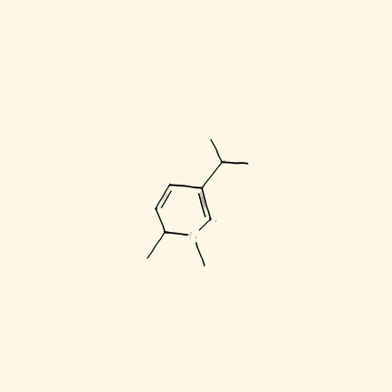 CC([O])C1=CN(C)C(C)C=C1